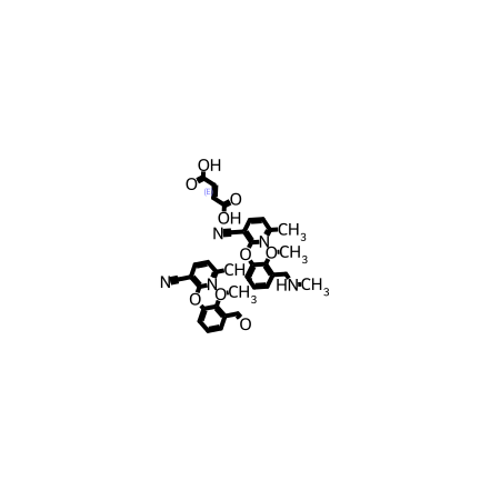 CNCc1cccc(Oc2nc(C)ccc2C#N)c1OC.COc1c(C=O)cccc1Oc1nc(C)ccc1C#N.O=C(O)/C=C/C(=O)O